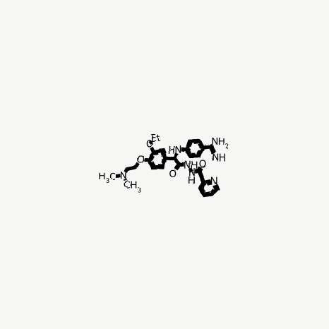 CCOc1cc(C(Nc2ccc(C(=N)N)cc2)C(=O)NNC(=O)c2ccccn2)ccc1OCCN(C)C